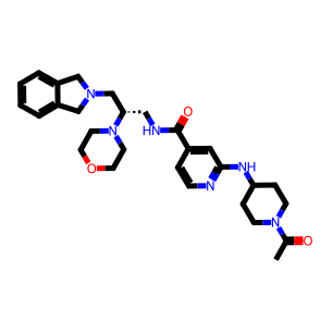 CC(=O)N1CCC(Nc2cc(C(=O)NC[C@@H](CN3Cc4ccccc4C3)N3CCOCC3)ccn2)CC1